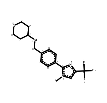 Cn1cc(C(F)(F)F)nc1-c1ccc(CNC2CCOCC2)cc1